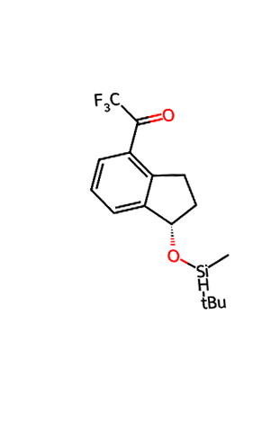 C[SiH](O[C@H]1CCc2c(C(=O)C(F)(F)F)cccc21)C(C)(C)C